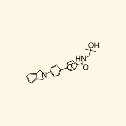 CC(C)(O)CNC(=O)C12CCC(c3ccc(N4Cc5ccccc5C4)cc3)(CC1)CC2